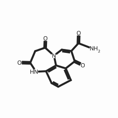 NC(=O)c1cn2c3c(cccc3c1=O)NC(=O)CC2=O